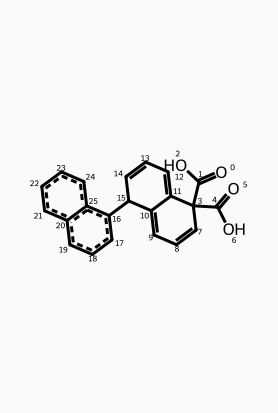 O=C(O)C1(C(=O)O)C=CC=C2C1=CC=CC2c1cccc2ccccc12